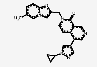 Cc1ccc2nc(Cn3ccc4c(-c5cnn(C6CC6)c5)cncc4c3=O)cn2c1